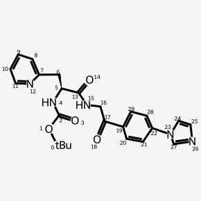 CC(C)(C)OC(=O)N[C@@H](Cc1ccccn1)C(=O)NCC(=O)c1ccc(-n2ccnc2)cc1